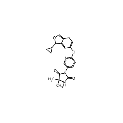 CC1(C)NC(=O)N(c2cnc(OC3=CCC4=COC(C5CC5)C4=C3)nc2)C1=O